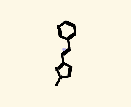 Cn1ccc(/C=C/c2cccnc2)n1